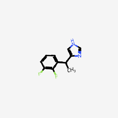 CC(c1c[nH]cn1)c1cccc(F)c1F